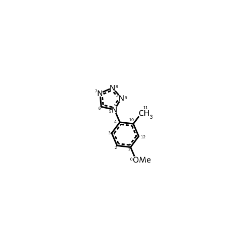 COc1ccc(-n2cnnn2)c(C)c1